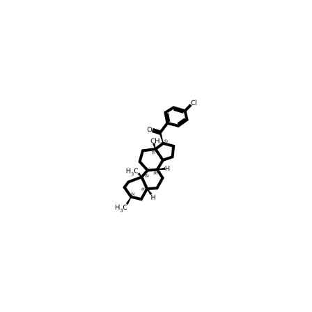 C[C@H]1CC[C@]2(C)C3CC[C@@]4(C)C(CC[C@@H]4C(=O)c4ccc(Cl)cc4)[C@@H]3CC[C@@H]2C1